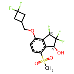 CS(=O)(=O)c1ccc(OCC2CC(F)(F)C2)c2c1[C@H](O)C(F)(F)[C@@H]2F